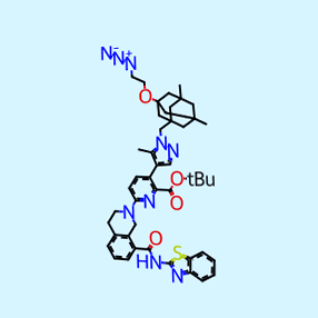 Cc1c(-c2ccc(N3CCc4cccc(C(=O)Nc5nc6ccccc6s5)c4C3)nc2C(=O)OC(C)(C)C)cnn1CC12CC3(C)CC(C)(C1)CC(OCCN=[N+]=[N-])(C3)C2